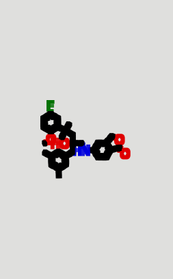 COc1ccc(F)cc1C(C)(C)CC(O)(CNc1ccc2c(c1)COC2=O)Cc1cc(C)cc(C)c1